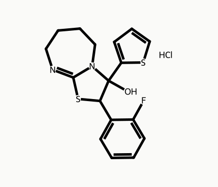 Cl.OC1(c2cccs2)C(c2ccccc2F)SC2=NCCCCN21